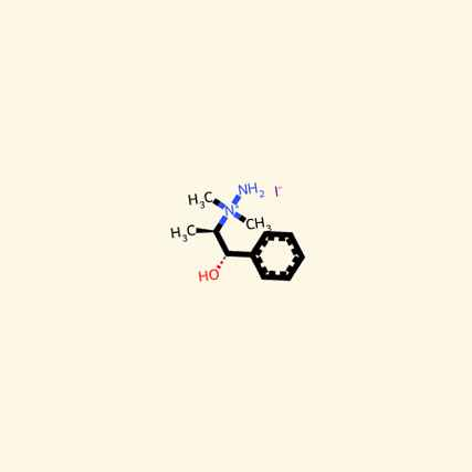 C[C@H]([C@@H](O)c1ccccc1)[N+](C)(C)N.[I-]